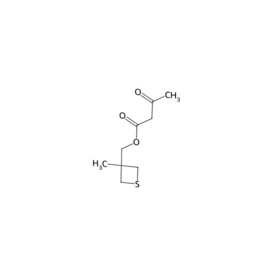 CC(=O)CC(=O)OCC1(C)CSC1